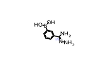 N/N=C(\N)c1cccc(B(O)O)c1